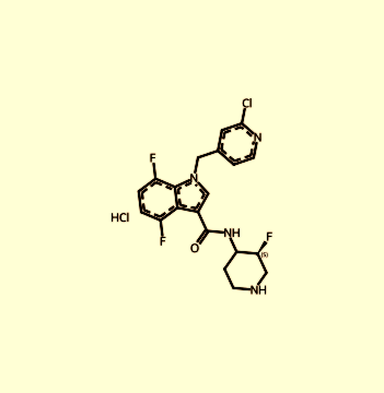 Cl.O=C(NC1CCNC[C@@H]1F)c1cn(Cc2ccnc(Cl)c2)c2c(F)ccc(F)c12